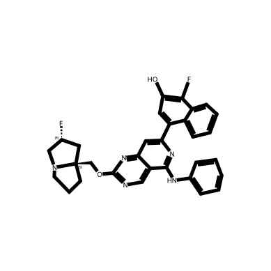 Oc1cc(-c2cc3nc(OC[C@@]45CCCN4C[C@H](F)C5)ncc3c(Nc3ccccc3)n2)c2ccccc2c1F